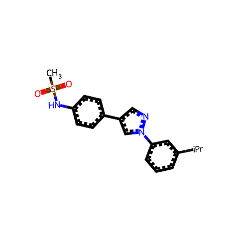 CC(C)c1cccc(-n2cc(-c3ccc(NS(C)(=O)=O)cc3)cn2)c1